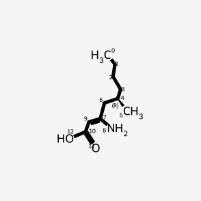 CCCC[C@@H](C)CC(N)=CC(=O)O